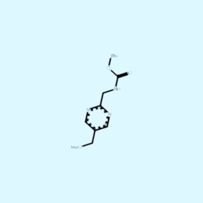 COCc1cnc(CNC(=O)OC(C)(C)C)nc1